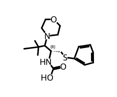 CC(C)(C)C([C@H](CSc1ccccc1)NC(=O)O)N1CCOCC1